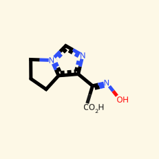 O=C(O)/C(=N\O)c1ncn2c1CCC2